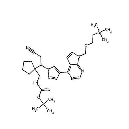 CC(C)(C)OC(=O)NCC1(C(CC#N)n2cc(-c3ncnc4c3ccn4COCC[Si](C)(C)C)cn2)CCCC1